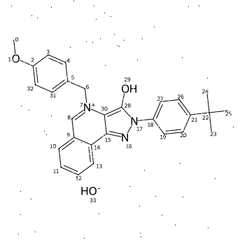 COc1ccc(C[n+]2cc3ccccc3c3nn(-c4ccc(C(C)(C)C)cc4)c(O)c32)cc1.[OH-]